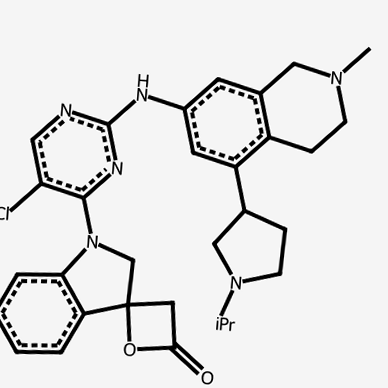 CC(C)N1CCC(c2cc(Nc3ncc(Cl)c(N4CC5(CC(=O)O5)c5ccccc54)n3)cc3c2CCN(C)C3)C1